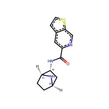 O=C(N[C@@H]1C[C@H]2CC[C@@H]1N2)c1cc2ccsc2cn1